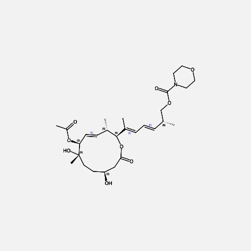 CC(=O)O[C@H]1/C=C/[C@H](C)[C@@H](/C(C)=C/C=C/[C@@H](C)COC(=O)N2CCOCC2)OC(=O)C[C@@H](O)CC[C@]1(C)O